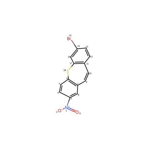 O=[N+]([O-])c1ccc2c(c1)C=Cc1ccc(Br)cc1S2